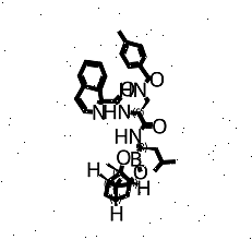 Cc1ccc(C(=O)NC[C@H](NC(=O)c2nccc3ccccc23)C(=O)N[C@@H](CC(C)C)B2O[C@@H]3C[C@@H]4C[C@@H](C4(C)C)[C@]3(C)O2)cc1